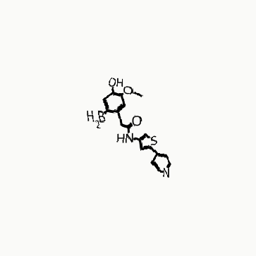 Bc1cc(O)c(OC)cc1CC(=O)Nc1csc(-c2ccncc2)c1